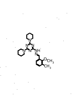 COc1c(C)cccc1/C=N/Nc1nc(N2CCCCC2)nc(N2CCCCC2)n1